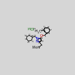 CNCc1cc(OCc2ccccc2C)n(CC2CCCCC2)n1.Cl